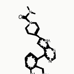 CN(C)C(=O)N1CC=C(c2cc3c(-c4cccc(N)c4CO)ncnc3[nH]2)CC1